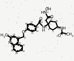 CC(=O)NC1CCC(CC(=O)NO)(NC(=O)c2ccc(OCc3cc(C)nc4ccccc34)cc2)CC1